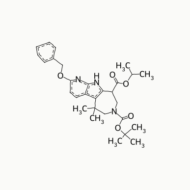 CC(C)OC(=O)C1CN(C(=O)OC(C)(C)C)CC(C)(C)c2c1[nH]c1nc(OCc3ccccc3)ccc21